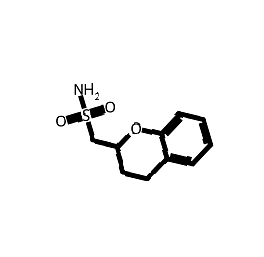 NS(=O)(=O)CC1CCc2ccccc2O1